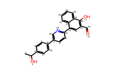 CC(O)c1ccc(-c2ccc(-c3cc(C=O)c(O)c4ccccc34)nc2)cc1